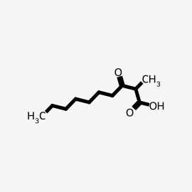 CCCCCCCC(=O)C(C)C(=O)O